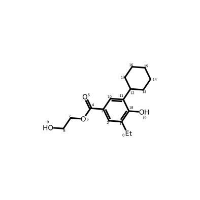 CCc1cc(C(=O)OCCO)cc(C2CCCCC2)c1O